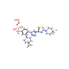 O=S(=O)(CCO)Nc1ccc(-n2cc(-c3csc(N4CCC(F)(F)CC4)n3)nn2)c(N2CCC3(CC2)CC3)c1